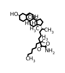 CCCCCCC(C)(CCCC(C)[C@H]1CC[C@H]2[C@@H]3CC=C4C[C@@H](O)CC[C@]4(C)[C@H]3CC[C@]12C)C(=O)C(N)=O